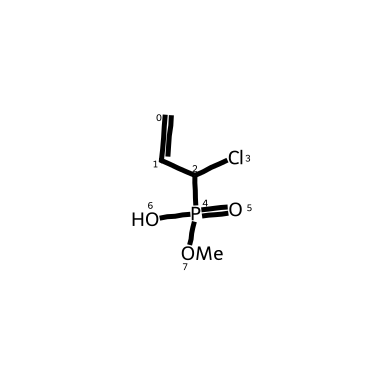 C=CC(Cl)P(=O)(O)OC